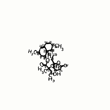 CCC(C)(C)C(=O)O[C@H]1C[C@@H](C)C=C2C=C[C@H](C)[C@H](CCC3C[C@@H](O)CC(=O)O3)[C@H]21